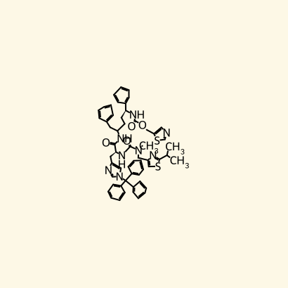 CC(C)c1nc(CN(C)C(=O)N[C@@H](Cc2cn(C(c3ccccc3)(c3ccccc3)c3ccccc3)cn2)C(=O)NC(CC[C@H](NC(=O)OCc2cncs2)c2ccccc2)Cc2ccccc2)cs1